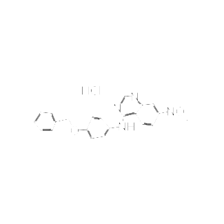 Cl.O=[N+]([O-])c1ccc2c(Nc3ccc(OCc4ccccc4)cc3)ncnc2c1